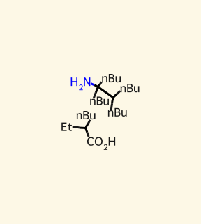 CCCCC(CC)C(=O)O.CCCCC(CCCC)C(N)(CCCC)CCCC